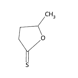 CC1CCC(=S)O1